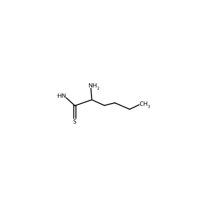 CCCCC(N)C([NH])=S